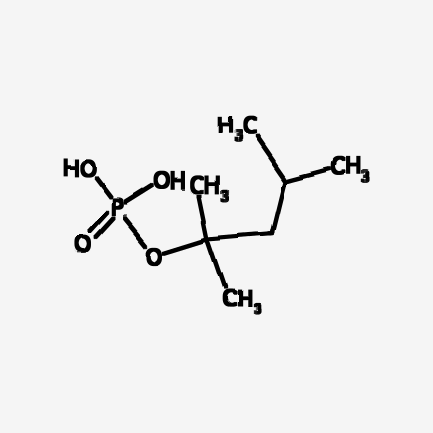 CC(C)CC(C)(C)OP(=O)(O)O